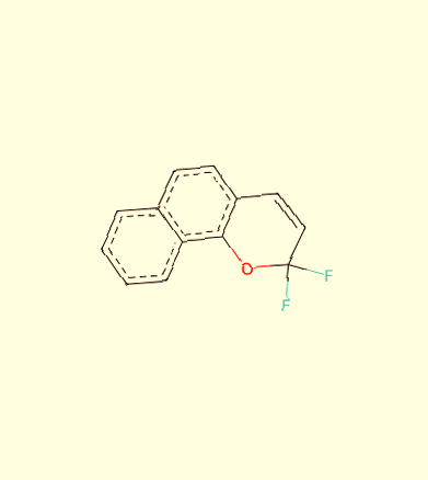 FC1(F)C=Cc2ccc3ccccc3c2O1